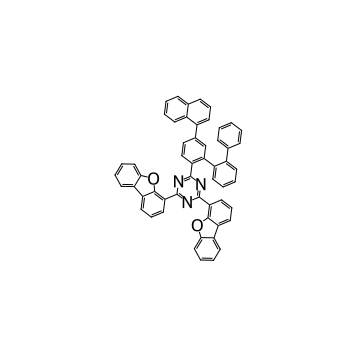 c1ccc(-c2ccccc2-c2cc(-c3cccc4ccccc34)ccc2-c2nc(-c3cccc4c3oc3ccccc34)nc(-c3cccc4c3oc3ccccc34)n2)cc1